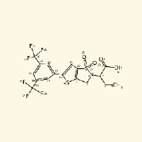 CCC(C(=O)O)N1Cc2sc(-c3cc(C(F)(F)F)cc(C(F)(F)F)c3)cc2S1(=O)=O